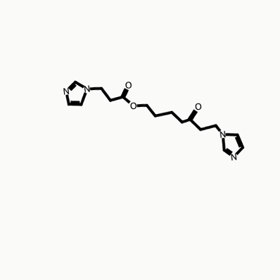 O=C(CCCCOC(=O)CCn1ccnc1)CCn1ccnc1